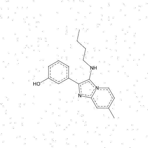 CCCCNc1c(-c2cccc(O)c2)nc2cc(C)ccn12